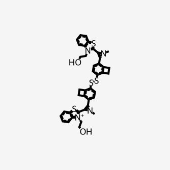 CN1C(c2ccc(SSc3ccc(C4=C(c5sc6ccccc6[n+]5CCO)N4C)c4c3CC4)c3c2CC3)=C1c1sc2ccccc2[n+]1CCO